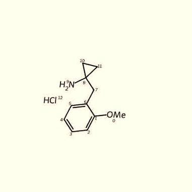 COc1ccccc1CC1(N)CC1.Cl